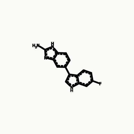 Nc1nc2cc(-c3c[nH]c4cc(F)ccc34)ccc2[nH]1